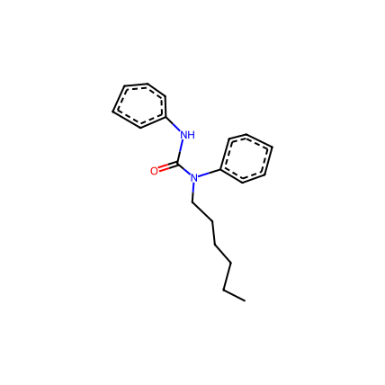 CCCCCCN(C(=O)Nc1ccccc1)c1ccccc1